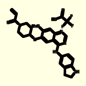 C=CC(=O)N1CCC(Oc2cc3c(Nc4ccc5c(c4)CCN5)ncnc3cc2OC)CC1.O=C(O)C(F)(F)F